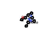 CN/C(=N\C(=N/Cc1ccccc1-n1c2ccccc2c2ccc(-c3ccc4c(c3)oc3ccccc34)cc21)c1ccc(-c2ccccc2)cc1)c1ccccc1